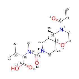 C=CC(=O)N1CCOC2(CCN(C(=O)N(C)[C@H](C(=O)O)C(C)C)CC2)[C@H]1C